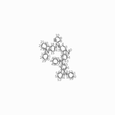 Cn1c2ccc(N(c3ccccc3)c3ccc4c(c3)c3ccccc3n4-c3ccccc3)cc2c2cc(N(c3ccccc3)c3ccc4c(c3)c3ccccc3n4-c3ccccc3)ccc21